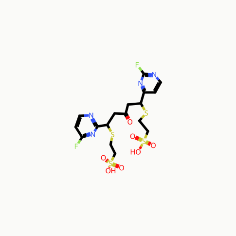 O=C(CC(SCCS(=O)(=O)O)c1ccnc(F)n1)CC(SCCS(=O)(=O)O)c1nccc(F)n1